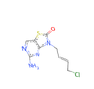 Nc1ncc2sc(=O)n(C/C=C/CCl)c2n1